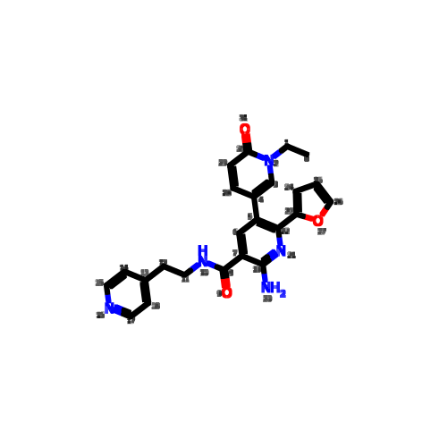 CCn1cc(-c2cc(C(=O)NCCc3ccncc3)c(N)nc2-c2ccco2)ccc1=O